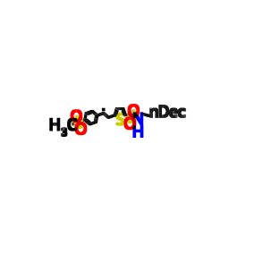 CCCCCCCCCCCCNS(=O)(=O)c1ccc(C[CH]c2ccc(S(C)(=O)=O)cc2)s1